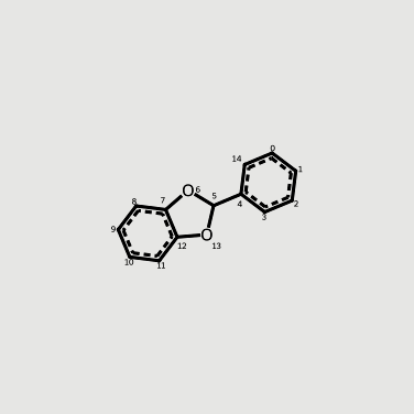 [c]1cccc(C2Oc3ccccc3O2)c1